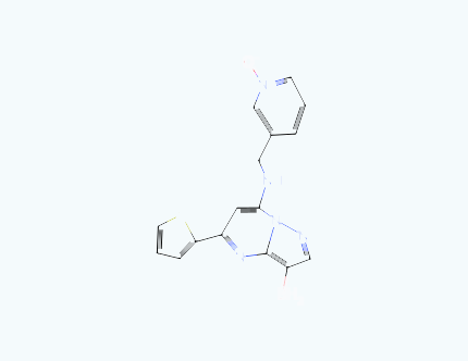 Bc1cnn2c(NCc3ccc[n+]([O-])c3)cc(-c3cccs3)nc12